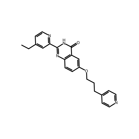 CCc1ccnc(-c2nc3ccc(OCCCc4ccncc4)cc3c(=O)[nH]2)c1